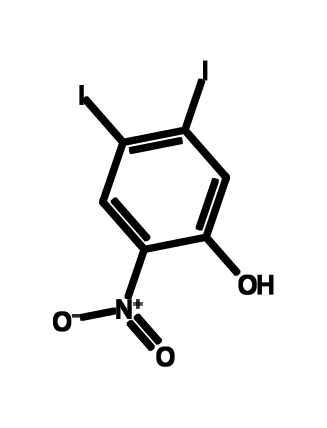 O=[N+]([O-])c1cc(I)c(I)cc1O